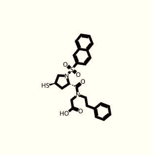 O=C(O)CN(CCc1ccccc1)C(=O)[C@@H]1C[C@@H](S)CN1S(=O)(=O)c1ccc2ccccc2c1